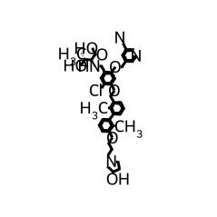 Cc1c(COc2cc(OCc3cncc(C#N)c3)c(CN[C@H](C(=O)O)[C@@H](C)O)cc2Cl)cccc1-c1cccc(OCCCN2CC[C@@H](O)C2)c1C